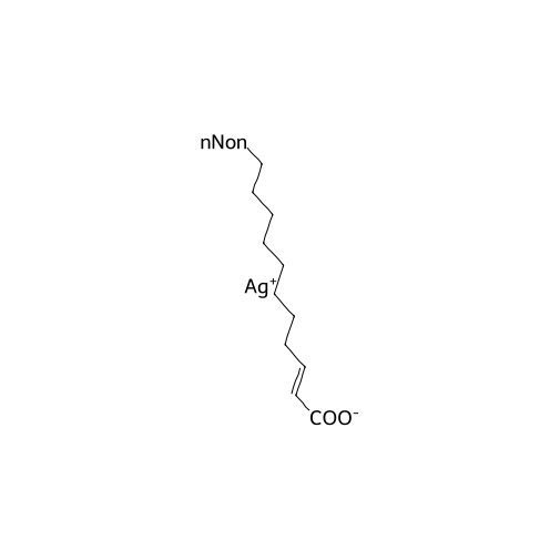 CCCCCCCCCCCCCCCCCC=CC(=O)[O-].[Ag+]